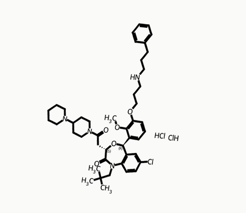 COc1c(OCCCNCCCc2ccccc2)cccc1[C@@H]1O[C@@H](CC(=O)N2CCC(N3CCCCC3)CC2)C(=O)N(CC(C)(C)C)c2ccc(Cl)cc21.Cl.Cl